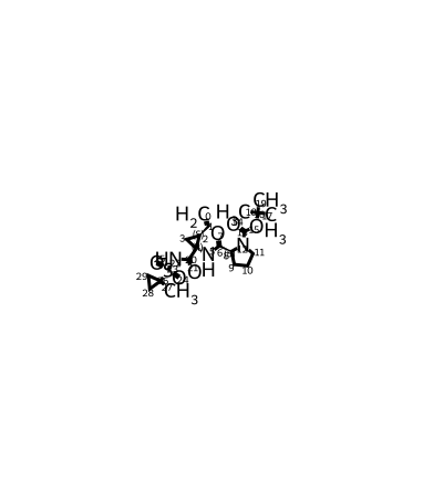 C=C[C@@H]1C[C@]1(NC(=O)[C@@H]1CCCN1C(=O)OC(C)(C)C)C(=O)NS(=O)(=O)C1(C)CC1